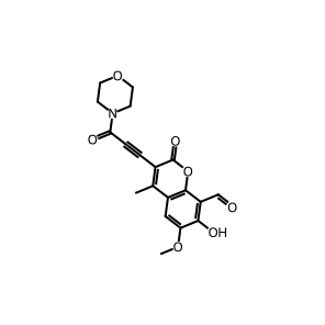 COc1cc2c(C)c(C#CC(=O)N3CCOCC3)c(=O)oc2c(C=O)c1O